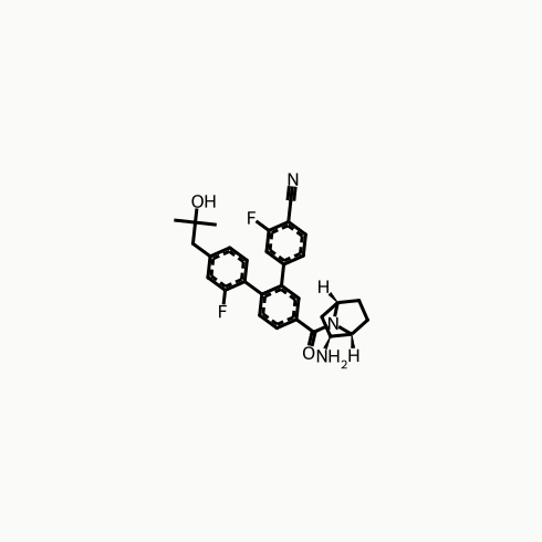 CC(C)(O)Cc1ccc(-c2ccc(C(=O)N3[C@H]4CC[C@@H]3[C@@H](N)C4)cc2-c2ccc(C#N)c(F)c2)c(F)c1